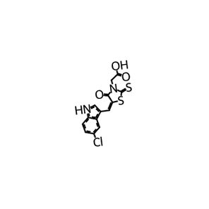 O=C(O)CN1C(=O)C(=Cc2c[nH]c3ccc(Cl)cc23)SC1=S